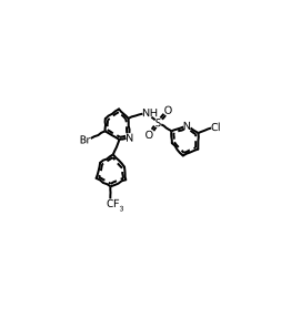 O=S(=O)(Nc1ccc(Br)c(-c2ccc(C(F)(F)F)cc2)n1)c1cccc(Cl)n1